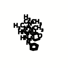 CN=C(N(C)C)N(C)NC(=N)NC(=Nc1ccccc1)N1CCOCC1